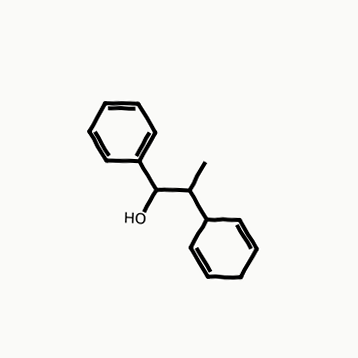 CC(C1C=CCC=C1)C(O)c1ccccc1